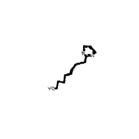 OCCCCCCCc1ncccn1